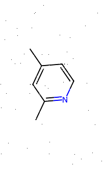 Cc1[c]cnc(C)[c]1